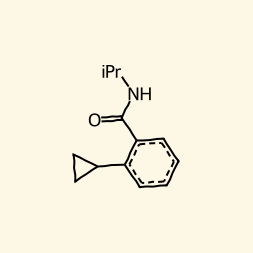 CC(C)NC(=O)c1ccccc1C1CC1